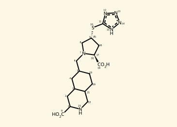 O=C(O)C1CC2CC(CN3C[C@H](Sc4nnn[nH]4)C[C@H]3C(=O)O)CCC2CN1